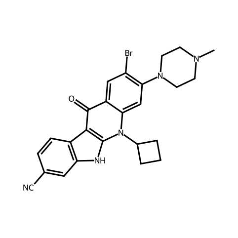 CN1CCN(c2cc3c(cc2Br)c(=O)c2c4ccc(C#N)cc4[nH]c2n3C2CCC2)CC1